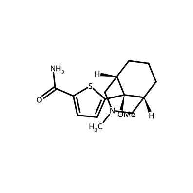 CO[C@]1(c2ccc(C(N)=O)s2)[C@@H]2CCC[C@H]1CN(C)C2